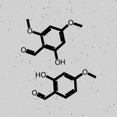 COc1cc(O)c(C=O)c(OC)c1.COc1ccc(C=O)c(O)c1